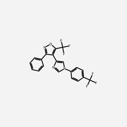 FC(F)(F)c1ccc(-n2cnc(-c3c(-c4ccccc4)noc3C(F)(F)F)c2)cc1